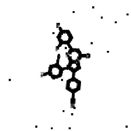 N#Cc1ccc(-c2cn3c(=O)cc(-c4ccc(F)cc4F)nc3n2-c2ccc(F)cc2F)cc1